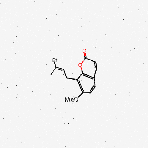 CC/C(C)=C/Cc1c(OC)ccc2ccc(=O)oc12